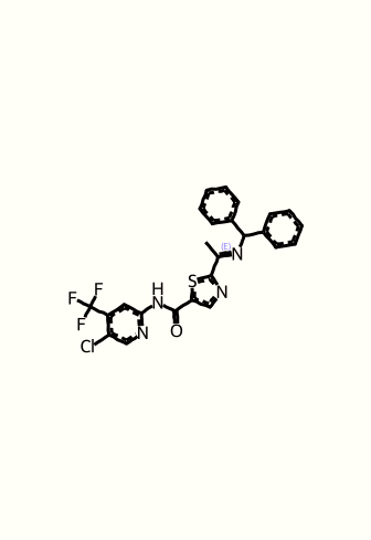 C/C(=N\C(c1ccccc1)c1ccccc1)c1ncc(C(=O)Nc2cc(C(F)(F)F)c(Cl)cn2)s1